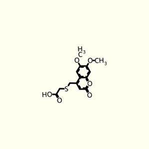 COc1cc2oc(=O)cc(CSCC(=O)O)c2cc1OC